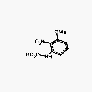 COc1cccc(NC(=O)O)c1[N+](=O)[O-]